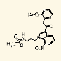 COc1ccccc1CC(=O)c1cn(CCCNS(C)(=O)=O)c2c([N+](=O)[O-])cccc12